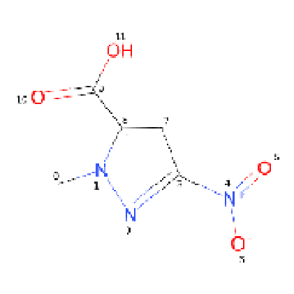 Cn1nc([N+](=O)[O-])cc1C(=O)O